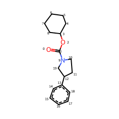 O=C(OC1CCCCC1)N1CCC(c2ccccc2)C1